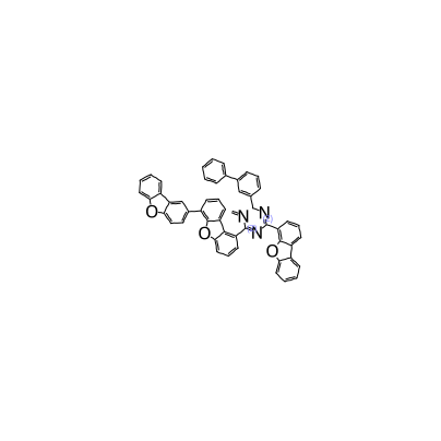 C=N/C(=N\C(=N/Cc1cccc(-c2ccccc2)c1)c1cccc2c1oc1ccccc12)c1cccc2oc3c(-c4ccc5oc6ccccc6c5c4)cccc3c12